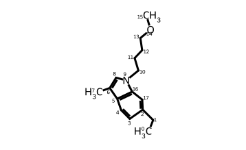 CCc1ccc2c(C)cn(CCCCOC)c2c1